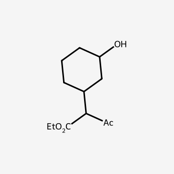 CCOC(=O)C(C(C)=O)C1CCCC(O)C1